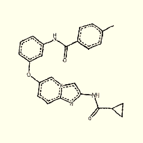 Cc1ccc(C(=O)Nc2cccc(Oc3ccc4nc(NC(=O)C5CC5)cn4c3)c2)cc1